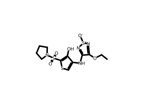 CCOc1n[s+]([O-])nc1Nc1csc(S(=O)(=O)N2CCCC2)c1O